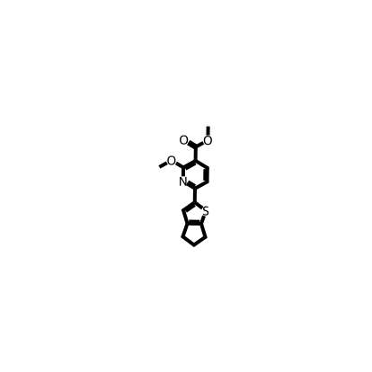 COC(=O)c1ccc(-c2cc3c(s2)CCC3)nc1OC